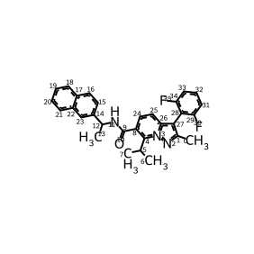 Cc1nn2c(C(C)C)c(C(=O)NC(C)c3ccc4ccccc4c3)ccc2c1-c1c(F)cccc1F